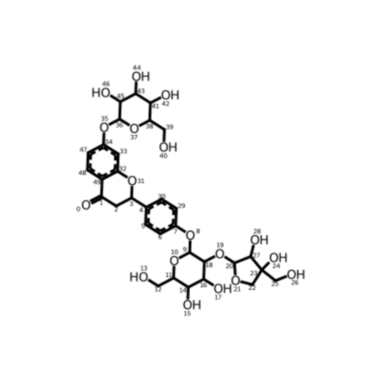 O=C1CC(c2ccc(OC3OC(CO)C(O)C(O)C3OC3OCC(O)(CO)C3O)cc2)Oc2cc(OC3OC(CO)C(O)C(O)C3O)ccc21